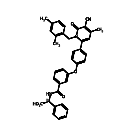 Cc1ccc(Cn2c(-c3ccc(Oc4cccc(C(=O)N[C@H](C(=O)O)c5ccccc5)c4)cc3)cc(C(F)(F)F)c(C#N)c2=O)c(C)c1